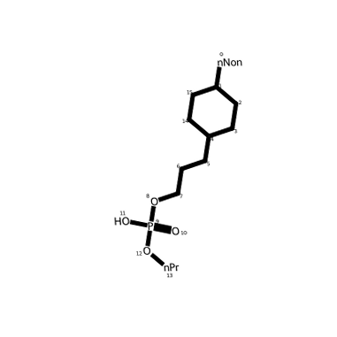 CCCCCCCCCC1CCC(CCCOP(=O)(O)OCCC)CC1